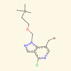 C[Si](C)(C)CCOCn1ncc2c(Cl)ncc(CBr)c21